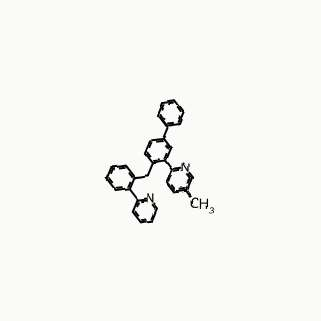 Cc1ccc(-c2cc(-c3ccccc3)ccc2Cc2ccccc2-c2ccccn2)nc1